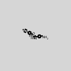 CN1CCN(c2ccc(C(=O)Nc3cc(-c4ccc(CN)cc4)n[nH]3)cc2)CC1